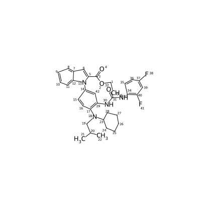 CCOC(=O)c1cc2ccccc2n1-c1ccc(N(CC(C)C)C2CCCCC2)c(NC(=O)Nc2ccc(F)cc2F)c1